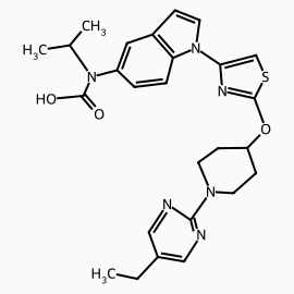 CCc1cnc(N2CCC(Oc3nc(-n4ccc5cc(N(C(=O)O)C(C)C)ccc54)cs3)CC2)nc1